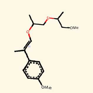 COCC(C)OCC(C)O/C=C(\C)c1ccc(OC)cc1